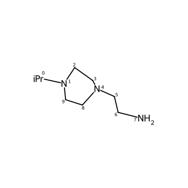 CC(C)N1CCN(CCN)CC1